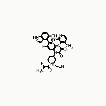 C=C(F)C(=O)N1CCC(n2c(=O)c(=O)n(-c3c(C)ccnc3C(C)C)c3nc(-c4c(C)ccc5[nH]ncc45)c(F)cc32)C[C@@H]1CC#N